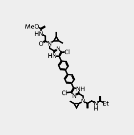 C=C(CC)NCC(=C)N(Cc1nc(Cl)c(-c2ccc(-c3ccc(-c4[nH]c(CN(C(=O)CNC(=C)OC)C5C(C)C5C)nc4Cl)cc3)cc2)[nH]1)C1CC1C